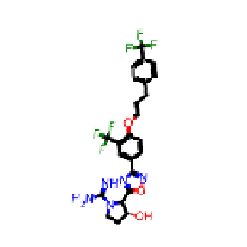 N=C(N)N1CC[C@H](O)C1c1nc(-c2ccc(OCCCc3ccc(C(F)(F)F)cc3)c(C(F)(F)F)c2)no1